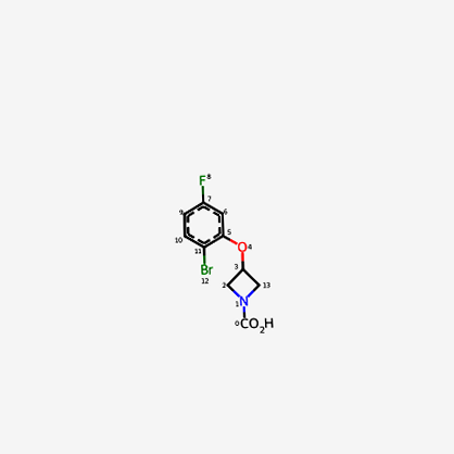 O=C(O)N1CC(Oc2cc(F)ccc2Br)C1